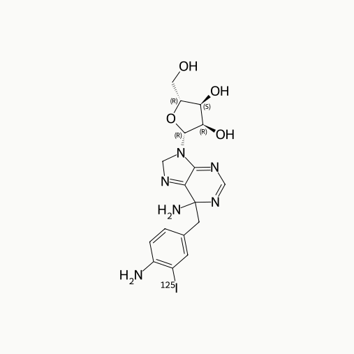 Nc1ccc(CC2(N)N=CN=C3C2=NCN3[C@@H]2O[C@H](CO)[C@@H](O)[C@H]2O)cc1[125I]